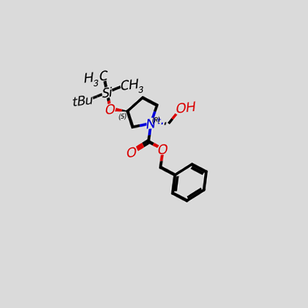 CC(C)(C)[Si](C)(C)O[C@H]1CC[N@@+](CO)(C(=O)OCc2ccccc2)C1